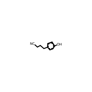 N#CCCCc1ccc(O)cc1